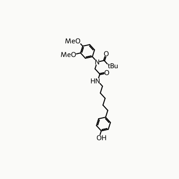 COc1ccc(N(CC(=O)NCCCCCc2ccc(O)cc2)C(=O)C(C)(C)C)cc1OC